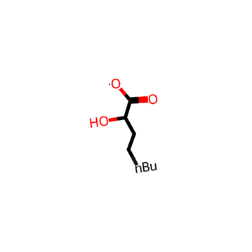 CCCCCCC(O)C([O])=O